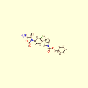 CCC1C(N)OC(=O)N1c1ccc(C2(C)CN(C(=O)OCc3ccccc3)C2)c(F)c1